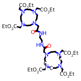 CCOC(=O)CN1CCN(CC(=O)NCCNC(=O)CN2CCN(CC(=O)OCC)CCN(CC(=O)OCC)CCN(CC(=O)OCC)CC2)CCN(CC(=O)OCC)CCN(CC(=O)OCC)CC1